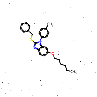 CCCCCCOc1ccc2nc(SCc3ccccc3)n(-c3ccc(C)cc3)c2c1